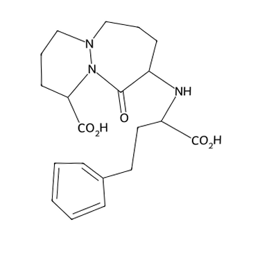 O=C(O)C(CCc1ccccc1)NC1CCCN2CCCC(C(=O)O)N2C1=O